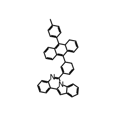 Cc1ccc(C2=c3ccccc3=C(C3C=C(c4nc5ccccc5c5cc6ccccc6n45)C=CC3)C3=CC=CCC32)cc1